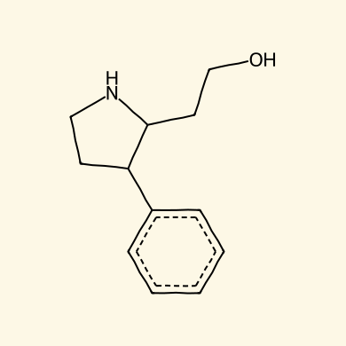 OCCC1NCCC1c1ccccc1